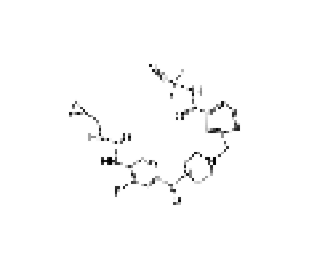 CC(C)(C#N)NC(=O)c1cccc(CN2CCN(C(=O)c3ccc(NC(=O)NCC4CC4)c(F)c3)CC2)c1